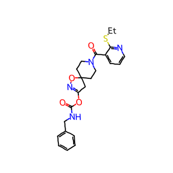 CCSc1ncccc1C(=O)N1CCC2(CC1)CC(OC(=O)NCc1ccccc1)=NO2